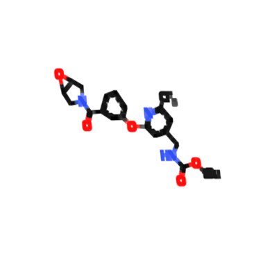 CC(C)(C)OC(=O)NCc1cc(Oc2cccc(C(=O)N3CC4OC4C3)c2)nc(C(F)(F)F)c1